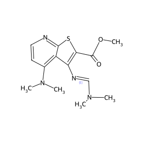 COC(=O)c1sc2nccc(N(C)C)c2c1/N=C/N(C)C